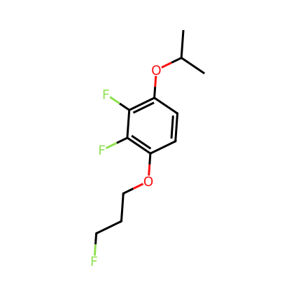 CC(C)Oc1ccc(OCCCF)c(F)c1F